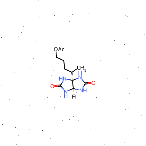 CC(=O)OCCCC(C)[C@]12NC(=O)N[C@H]1NC(=O)N2